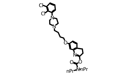 CCCN(CCC)C(=O)OC1=Nc2cc(OCCCCN3CCN(c4cccc(Cl)c4Cl)CC3)ccc2CC1